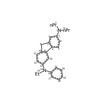 CCCN(CCC)c1ccc2c(c1)Cc1ccc(N(CC)c3ccccc3)cc1-2